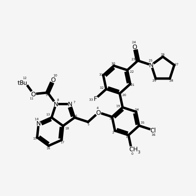 Cc1cc(OCc2nn(C(=O)OC(C)(C)C)c3ncccc23)c(-c2cc(C(=O)N3CCCC3)ccc2F)cc1Cl